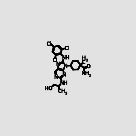 CC(CO)Nc1ncc2nc(Nc3c(Cl)cc(Cl)cc3Cl)n(C3CCC(C)(C(N)=O)CC3)c2n1